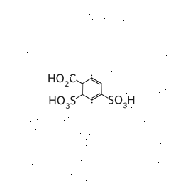 O=C(O)c1[c]cc(S(=O)(=O)O)[c]c1S(=O)(=O)O